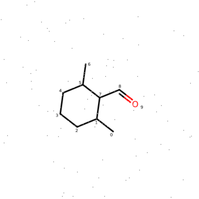 CC1CCCC(C)C1C=O